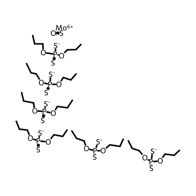 CCCOP(=S)([S-])OCCC.CCCOP(=S)([S-])OCCC.CCCOP(=S)([S-])OCCC.CCCOP(=S)([S-])OCCC.CCCOP(=S)([S-])OCCC.CCCOP(=S)([S-])OCCC.O=S.[Mo+6]